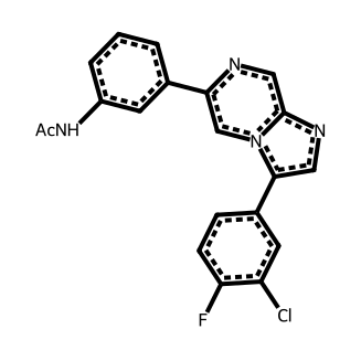 CC(=O)Nc1cccc(-c2cn3c(-c4ccc(F)c(Cl)c4)cnc3cn2)c1